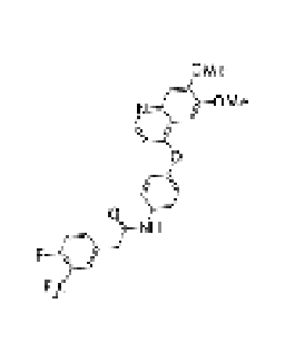 COc1cc2nccc(Oc3ccc(NC(=O)Cc4ccc(F)c(C(F)(F)F)c4)cc3)c2cc1OC